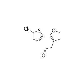 O=CCc1ccoc1-c1ccc(Cl)s1